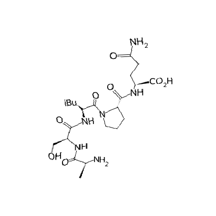 CC[C@H](C)[C@H](NC(=O)[C@H](CO)NC(=O)[C@H](C)N)C(=O)N1CCC[C@H]1C(=O)N[C@@H](CCC(N)=O)C(=O)O